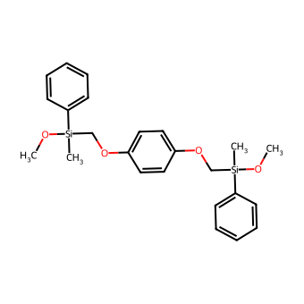 CO[Si](C)(COc1ccc(OC[Si](C)(OC)c2ccccc2)cc1)c1ccccc1